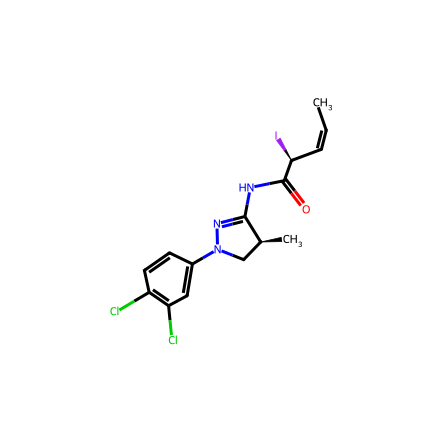 C/C=C\[C@H](I)C(=O)NC1=NN(c2ccc(Cl)c(Cl)c2)C[C@@H]1C